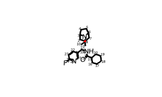 CC1CC2CCC(C1)N2CC[C@H](NC(=O)C1CCCCC1)c1ccc(F)nc1